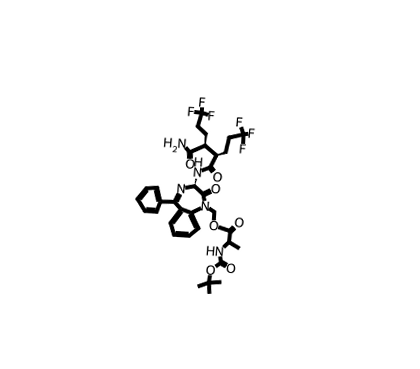 CC(NC(=O)OC(C)(C)C)C(=O)OCN1C(=O)[C@@H](NC(=O)[C@H](CCC(F)(F)F)[C@H](CCC(F)(F)F)C(N)=O)N=C(c2ccccc2)c2ccccc21